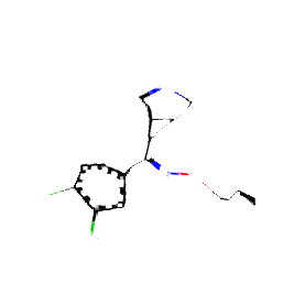 C=CCO/N=C(/c1ccc(Cl)c(Cl)c1)C1C2CNCC21